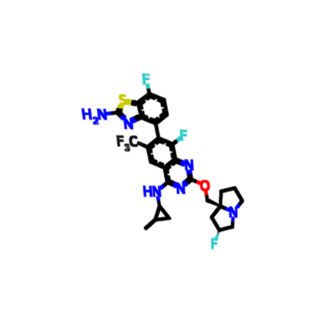 CC1CC1Nc1nc(OC[C@@]23CCCN2C[C@H](F)C3)nc2c(F)c(-c3ccc(F)c4sc(N)nc34)c(C(F)(F)F)cc12